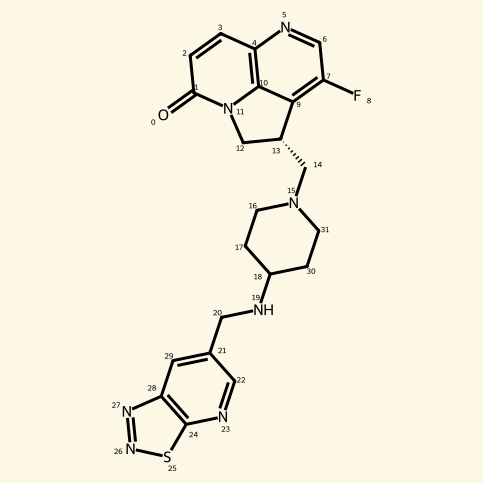 O=c1ccc2ncc(F)c3c2n1C[C@H]3CN1CCC(NCc2cnc3snnc3c2)CC1